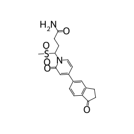 CS(=O)(=O)C(CCC(N)=O)n1ccc(-c2ccc3c(c2)CCC3=O)cc1=O